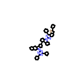 c1ccc(-c2nc(-c3ccccc3)nc(-n3c4ccc(-c5cccc6c5c5ccccc5n6-c5nc(-c6ccccc6)c6c(ccc7cc(-c8ccccc8)sc76)n5)cc4c4cc5ccccc5cc43)n2)cc1